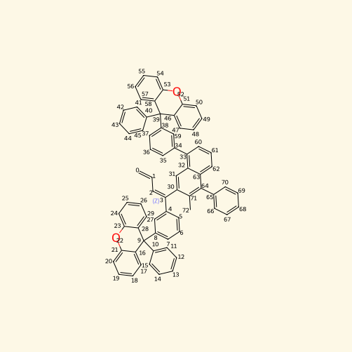 C=C/C=C(/c1cccc(C2(c3ccccc3)c3ccccc3Oc3ccccc32)c1)c1cc2c(-c3cccc(C4(c5ccccc5)c5ccccc5Oc5ccccc54)c3)cccc2c(-c2ccccc2)c1C